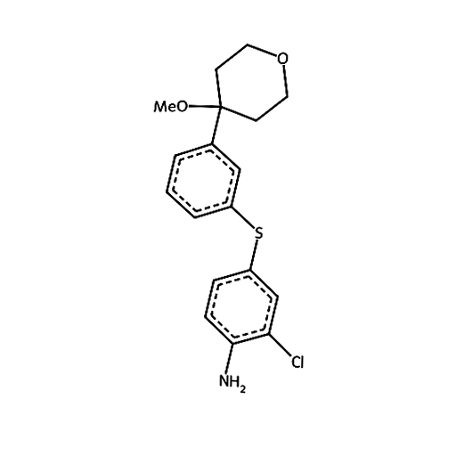 COC1(c2cccc(Sc3ccc(N)c(Cl)c3)c2)CCOCC1